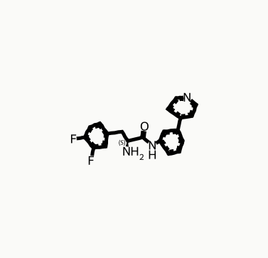 N[C@@H](Cc1ccc(F)c(F)c1)C(=O)Nc1cccc(-c2ccncc2)c1